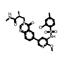 CNC(=O)[C@@H](C)Cn1cnc2ccc(-c3cnc(OC)c(NS(=O)(=O)c4ccc(C)cc4Cl)c3)cc2c1=O